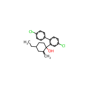 C=C1CC(CC)CCC1(O)c1cc(Cl)ccc1-c1ccc(Cl)cc1